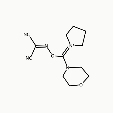 N#CC(C#N)=NOC(N1CCOCC1)=[N+]1CCCC1